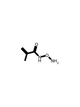 C=C(C)C(=O)NON